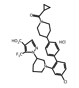 Cl.O=C(O)c1cnn(C2CCCN(c3cc(Cl)ccc3-c3ccc(C4CCN(C(=O)C5CC5)CC4)cc3)C2)c1C(F)(F)F